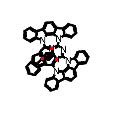 c1ccc(-c2cccc(-n3c4ccccc4c4ccc5c6ccccc6n(-c6nc(-c7ccccc7)nc(-n7c8ccccc8c8ccc9c%10ccccc%10n(-c%10ccccc%10)c9c87)n6)c5c43)c2)cc1